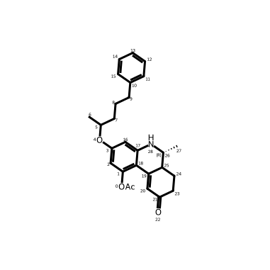 CC(=O)Oc1cc(OC(C)CCCc2ccccc2)cc2c1C1=CC(=O)CCC1[C@@H](C)N2